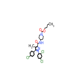 CCCCOC(=O)N1CCC(NC(=O)c2nn(-c3ccc(Cl)cc3Cl)c(-c3ccc(Cl)cc3)c2C)CC1